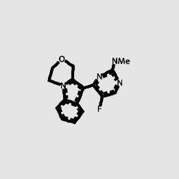 CNc1ncc(F)c(-c2c3n(c4ccccc24)CCOC3)n1